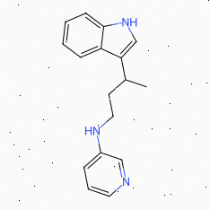 CC(CCNc1cccnc1)c1c[nH]c2ccccc12